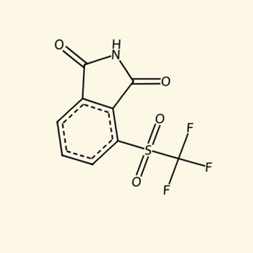 O=C1NC(=O)c2c1cccc2S(=O)(=O)C(F)(F)F